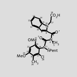 CCCCCN(C(=O)N(C)C(=O)c1cc2ccccc2n1CC(=O)O)c1c(OC)cc(OC)c(C)c1Cl